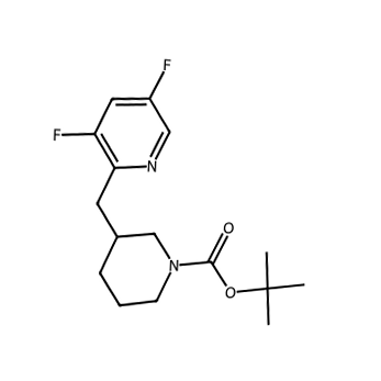 CC(C)(C)OC(=O)N1CCCC(Cc2ncc(F)cc2F)C1